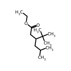 CCOC(=O)CC(CC(C)C)C(C)(C)C